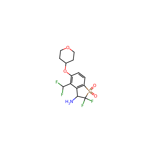 NC1c2c(ccc(OC3CCOCC3)c2C(F)F)S(=O)(=O)C1(F)F